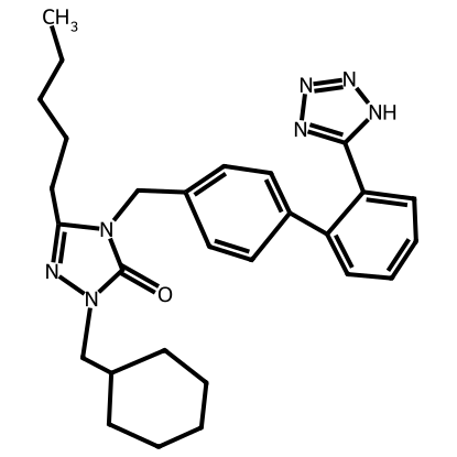 CCCCCc1nn(CC2CCCCC2)c(=O)n1Cc1ccc(-c2ccccc2-c2nnn[nH]2)cc1